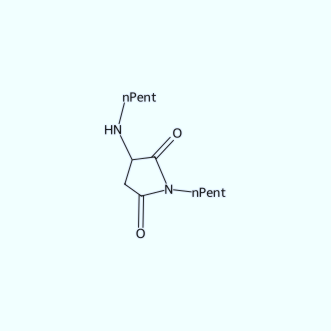 CCCCCNC1CC(=O)N(CCCCC)C1=O